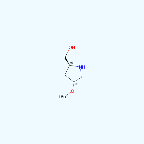 CC(C)(C)O[C@H]1CN[C@H](CO)C1